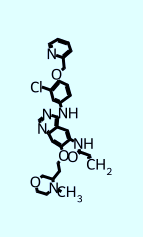 C=CC(=O)Nc1cc2c(Nc3ccc(OCc4ccccn4)c(Cl)c3)ncnc2cc1OCCC1COCCN1C